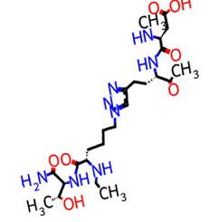 CCN[C@@H](CCCCn1cc(CC[C@H](NC(=O)[C@H](CC(=O)O)NC)C(C)=O)nn1)C(=O)N[C@H](C(N)=O)[C@@H](C)O